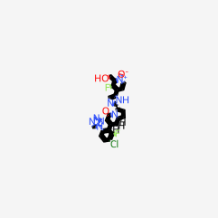 [2H]C1([2H])C(c2c(-n3cnnn3)ccc(Cl)c2F)=CC(=O)N2[C@H](c3ncc(-c4cc[n+]([O-])c(CO)c4F)[nH]3)CC[C@@]21[2H]